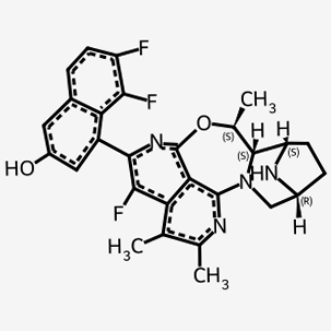 Cc1nc2c3c(nc(-c4cc(O)cc5ccc(F)c(F)c45)c(F)c3c1C)O[C@@H](C)[C@@H]1[C@@H]3CC[C@H](CN21)N3